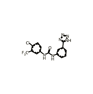 O=C(Nc1cccc(-c2nnn[nH]2)c1)Nc1ccc(Cl)c(C(F)(F)F)c1